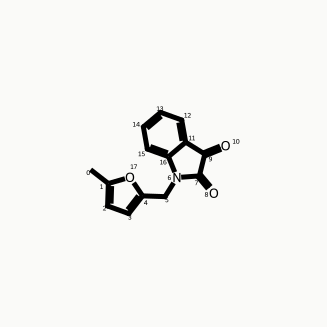 Cc1ccc(CN2C(=O)C(=O)c3ccccc32)o1